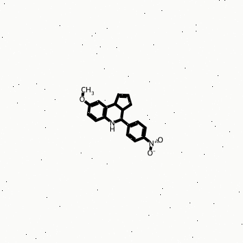 COc1ccc2c(c1)C1C=CCC1C(c1ccc([N+](=O)[O-])cc1)N2